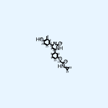 Cc1cc(-c2cc(-c3cccc(OCC(=O)NC4CC4)c3)[nH]c(=O)n2)ccc1O